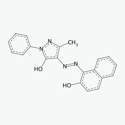 Cc1nn(-c2ccccc2)c(O)c1N=Nc1c(O)ccc2ccccc12